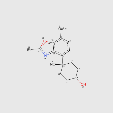 COc1ccc([C@]2(C#N)CC[C@H](O)CC2)c2nc(C(C)C)oc12